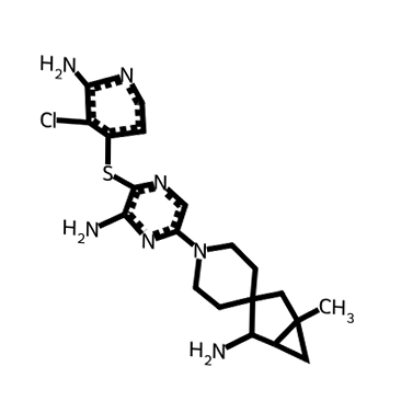 CC12CC1C(N)C1(CCN(c3cnc(Sc4ccnc(N)c4Cl)c(N)n3)CC1)C2